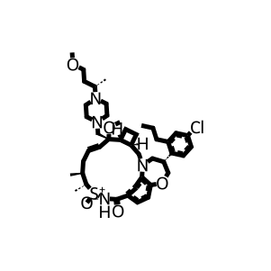 CCCc1cc(Cl)ccc1[C@@H]1COc2ccc3cc2N(C1)C[C@@H]1CC[C@H]1[C@@](CN1CCN([C@@H](C)CCOC)CC1)(OC)/C=C/C[C@H](C)[C@@H](C)[S+]([O-])NC3=O